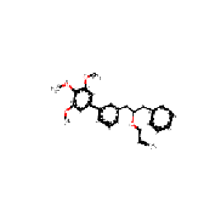 C=CCOC(Cc1[c]c(-c2cc(OC)c(OC)c(OC)c2)ccc1)Cc1ccccc1